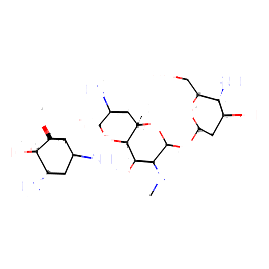 CNC1C(OC2CC(O)[C@H](N)C(CO)O2)O[C@H]2CC(N)[C@@H](O[C@H]3C(=O)C(O)[C@H](N)CC3N)OC2C1O